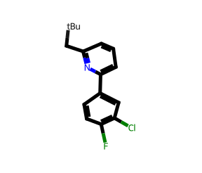 CC(C)(C)Cc1cccc(-c2ccc(F)c(Cl)c2)n1